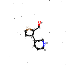 O=Cc1sccc1-c1cccnc1